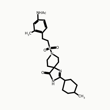 CC(=O)Nc1ccc(CCS(=O)(=O)N2CCC3(CC2)N=C(C2CCC(C)CC2)NC3=O)c(C)c1